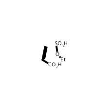 C=CC(=O)O.CCOS(=O)(=O)O